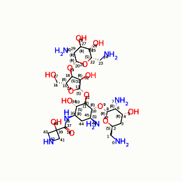 NC[C@@H]1C[C@@H](O)[C@@H](N)[C@@H](O[C@H]2[C@H](O[C@@H]3O[C@H](CO)[C@@H](O[C@H]4O[C@@H](CN)[C@@H](O)[C@H](O)[C@H]4N)[C@H]3O)[C@@H](O)[C@H](NC(=O)C3(O)CNC3)C[C@@H]2N)O1